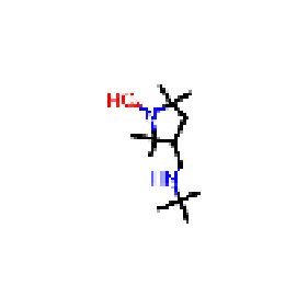 CC(C)(C)NCC1CC(C)(C)N(O)C1(C)C